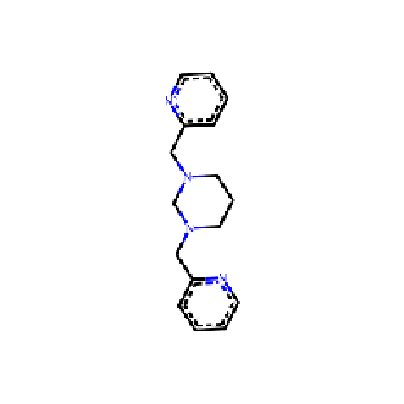 c1ccc(CN2CCCN(Cc3ccccn3)C2)nc1